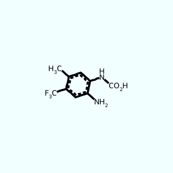 Cc1cc(NC(=O)O)c(N)cc1C(F)(F)F